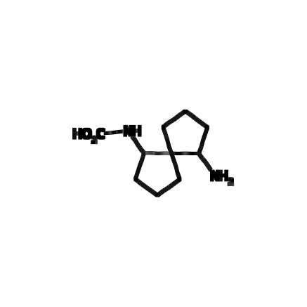 NC1CCCC12CCCC2NC(=O)O